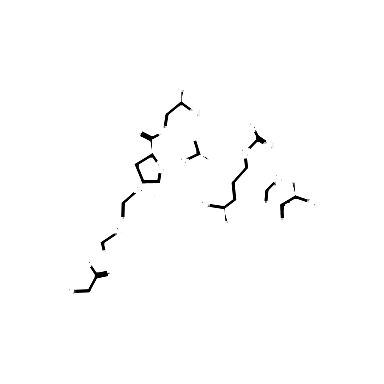 C[C@H](N)C(=O)O.C[C@H](N)C(N)=O.N=C(N)NCCC[C@H](N)C(=O)O.NCC(=O)O.NCC(=O)O.NCC(=O)O.N[C@@H](CC(=O)O)C(=O)O.N[C@@H](COC(=O)[C@@H]1CCCN1)C(=O)O